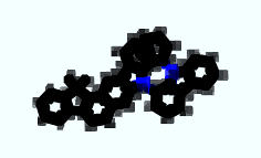 CC1(C)c2ccccc2-c2ccc3cc4c(cc3c21)c1ccccc1n4-c1cccc2c3ccccc3n(-c3ccccc3)c12